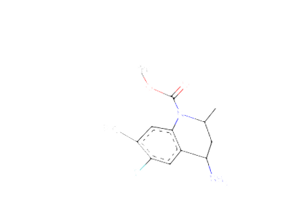 CC(C)OC(=O)N1c2cc(C(F)(F)F)c(F)cc2C(N)CC1C